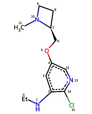 CCNc1cc(OC[C@@H]2CCN2C)cnc1Cl